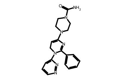 NC(=O)N1CCN(C2=CCN(c3cccnn3)C(c3ccccc3)=N2)CC1